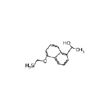 CC(O)c1cccc2c(OC[SiH3])cccc12